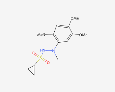 CNc1cc(OC)c(OC)cc1N(C)NS(=O)(=O)C1CC1